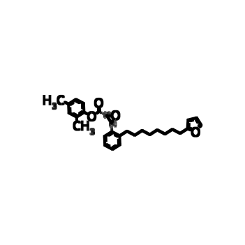 Cc1ccc(OC(=O)[C@@H]2O[C@@H]2c2ccccc2CCCCCCCCc2ccco2)c(C)c1